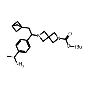 C[C@H](N)c1ccc(C(CC23CC(C2)C3)N2CC3(CN(C(=O)OC(C)(C)C)C3)C2)cc1